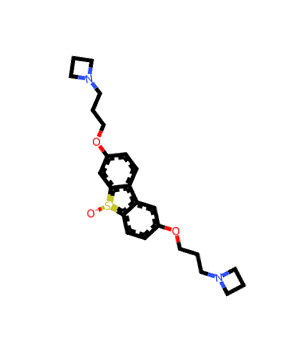 [O-][s+]1c2ccc(OCCCN3CCC3)cc2c2ccc(OCCCN3CCC3)cc21